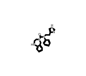 O=C(N1CCNc2ccccc2C1)N(CCc1c[nH]cn1)c1ccccc1